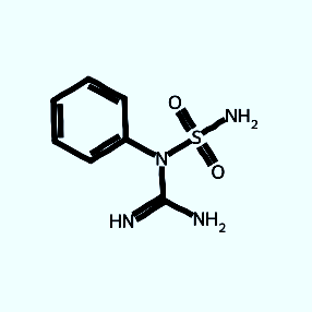 N=C(N)N(c1ccccc1)S(N)(=O)=O